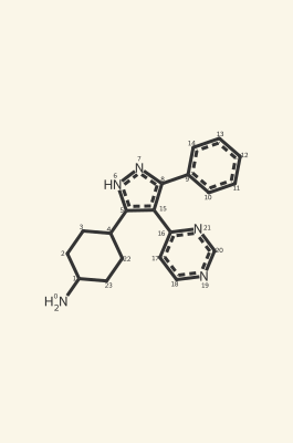 NC1CCC(c2[nH]nc(-c3ccccc3)c2-c2ccncn2)CC1